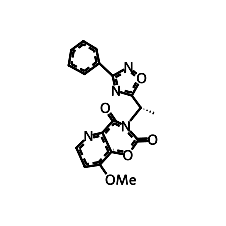 COc1ccnc2c(=O)n([C@@H](C)c3nc(-c4ccccc4)no3)c(=O)oc12